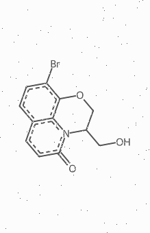 O=c1ccc2ccc(Br)c3c2n1C(CO)CO3